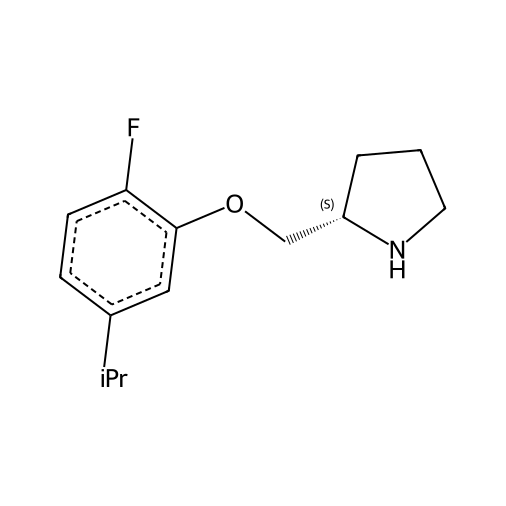 CC(C)c1ccc(F)c(OC[C@@H]2CCCN2)c1